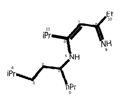 CCCC(CCC(C)C)N/C(=C\C(=N)CC)C(C)C